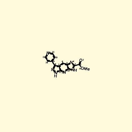 COC(=O)c1nc2cc3c(-c4ccncc4)n[nH]c3nc2[nH]1